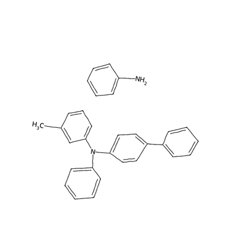 Cc1cccc(N(c2ccccc2)c2ccc(-c3ccccc3)cc2)c1.Nc1ccccc1